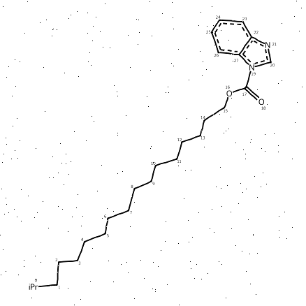 CC(C)CCCCCCCCCCCCCCCOC(=O)n1cnc2ccccc21